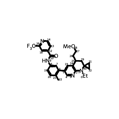 CCN1c2ncc(-c3cc(NC(=O)c4ccnc(C(F)(F)F)c4)ccc3C)cc2C(CCOC)CC12CC2